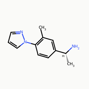 Cc1cc([C@@H](C)N)ccc1-n1cccn1